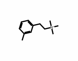 Cc1cccc(CC[N+](C)(C)C)c1